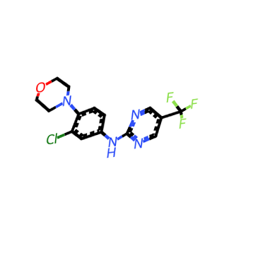 FC(F)(F)c1cnc(Nc2ccc(N3CCOCC3)c(Cl)c2)nc1